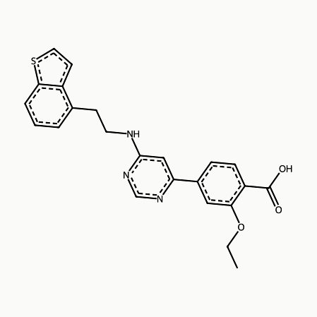 CCOc1cc(-c2cc(NCCc3cccc4sccc34)ncn2)ccc1C(=O)O